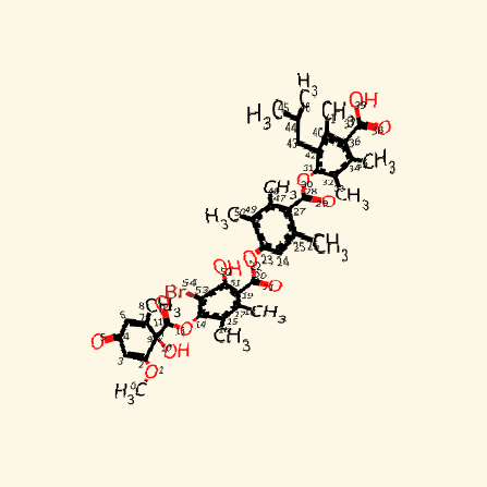 COC1=CC(=O)C=C(C)[C@]1(O)C(=O)Oc1c(C)c(C)c(C(=O)Oc2cc(C)c(C(=O)Oc3c(C)c(C)c(C(=O)O)c(C)c3CC(C)C)c(C)c2C)c(O)c1Br